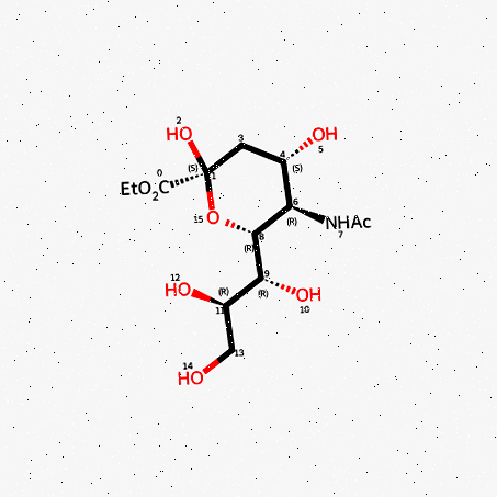 CCOC(=O)[C@]1(O)C[C@H](O)[C@@H](NC(C)=O)[C@H]([C@H](O)[C@H](O)CO)O1